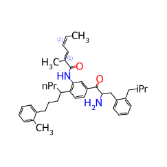 C/C=C\C=C(/C)C(=O)Nc1cc(C(=O)C(N)Cc2ccccc2CC(C)C)ccc1C(CCC)CCCc1ccccc1C